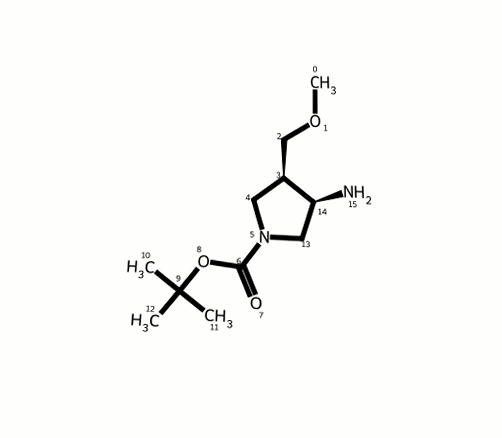 COC[C@@H]1CN(C(=O)OC(C)(C)C)C[C@@H]1N